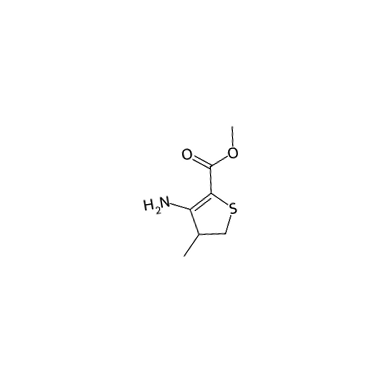 COC(=O)C1=C(N)C(C)CS1